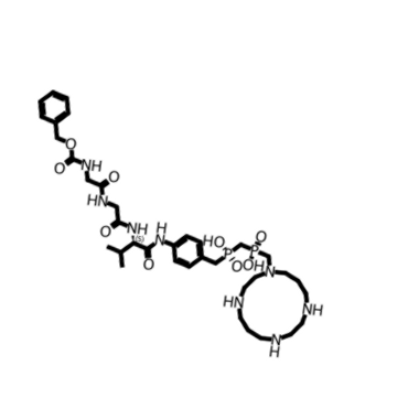 CC(C)[C@H](NC(=O)CNC(=O)CNC(=O)OCc1ccccc1)C(=O)Nc1ccc(CP(=O)(O)CP(=O)(O)CN2CCCNCCNCCCNCC2)cc1